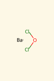 ClOCl.[Ba]